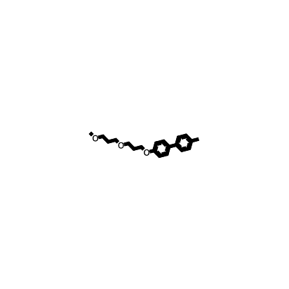 COCCCOCCCOc1ccc(-c2ccc(C)cc2)cc1